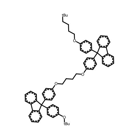 CC(C)(C)CCCCOc1ccc(C2(c3ccc(OCCCCOc4ccc(C5(c6ccc(OC(C)(C)C)cc6)c6ccccc6-c6ccccc65)cc4)cc3)c3ccccc3-c3ccccc32)cc1